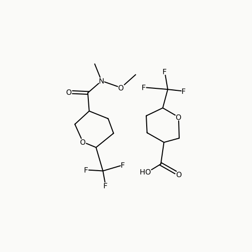 CON(C)C(=O)C1CCC(C(F)(F)F)OC1.O=C(O)C1CCC(C(F)(F)F)OC1